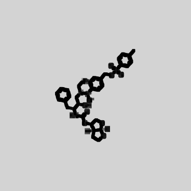 Cc1ccc(S(=O)(=O)OCc2ccc([S+]([O-])N(CC(C)C)C[C@@H](O)[C@H](Cc3ccccc3)NC(=O)O[C@H]3CO[C@H]4OCC[C@H]43)cc2)cc1